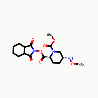 CCCCON[C@@H]1CC[C@@H](C(=O)ON2C(=O)C3CCCCC3C2=O)N(C(=O)OC(C)(C)C)C1